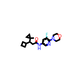 CC1(C(CC(=O)Nc2cnc(N3CCOCC3)c(F)c2)C2CCC2)CC1